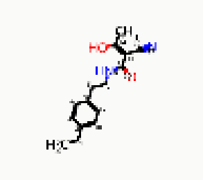 CCc1ccc(CCNC(=O)C(C#N)=C(C)O)cc1